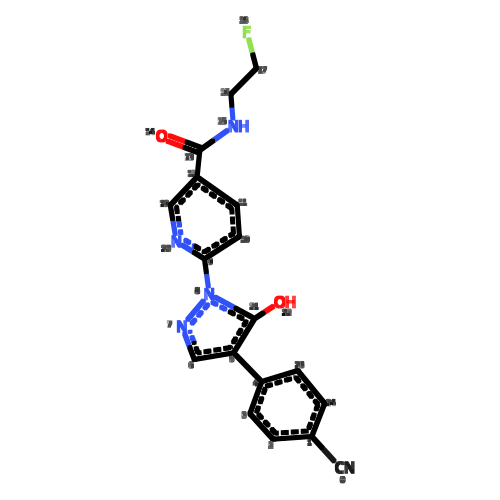 N#Cc1ccc(-c2cnn(-c3ccc(C(=O)NCCF)cn3)c2O)cc1